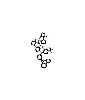 Cc1cccc(C)c1-c1cccc2c1nc(-c1c(C)cccc1C)n2-c1cccc(N(c2ccc(C(C)(C)C)cc2)c2cccc(-n3c4ccccc4c4ccccc43)c2)c1Br